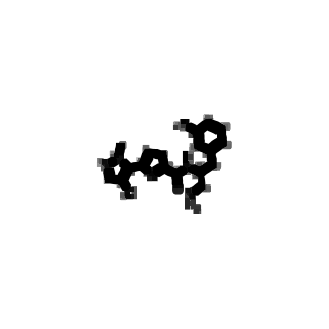 Cn1ncc(Cl)c1C1=CCC(C(=O)N[C@H](CN)Cc2cccc(F)c2)=N1